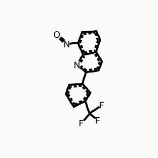 O=Nc1cccc2ccc(-c3cccc(C(F)(F)F)c3)nc12